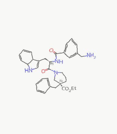 CCOC(=O)[C@]1(Cc2ccccc2)CCCN(C(=O)[C@@H](CC2=CNC3C=CC=CC23)NC(=O)c2cccc(CN)c2)C1